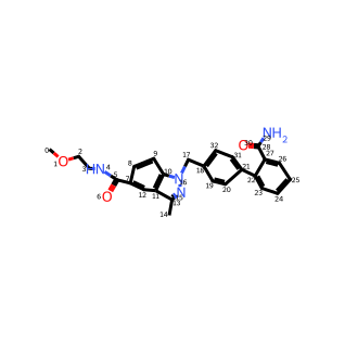 COCCNC(=O)c1ccc2c(c1)c(C)nn2Cc1ccc(-c2ccccc2C(N)=O)cc1